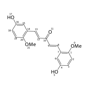 COc1ccc(O)cc1/C=C/C(=O)/C=C/c1cc(O)ccc1OC